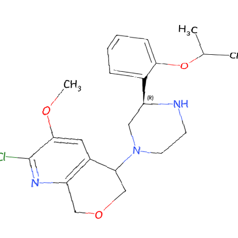 COc1cc2c(nc1Cl)COCC2N1CCN[C@H](c2ccccc2OC(C)C)C1